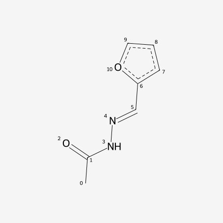 CC(=O)N/N=C/c1ccco1